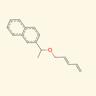 C=CC=CCOC(C)c1ccc2ccccc2c1